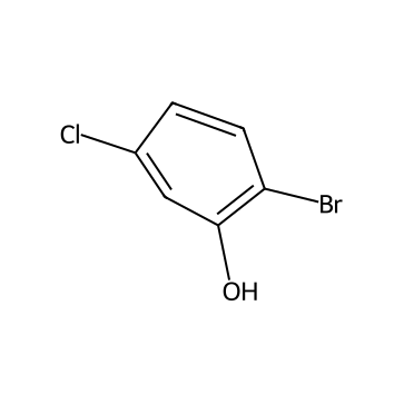 Oc1cc(Cl)ccc1Br